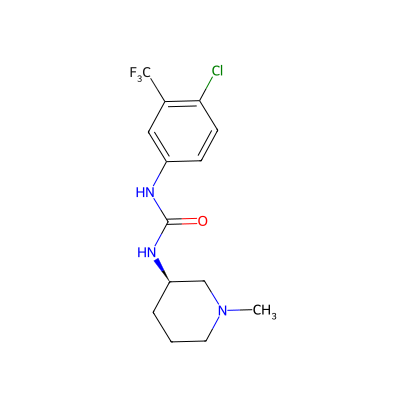 CN1CCC[C@@H](NC(=O)Nc2ccc(Cl)c(C(F)(F)F)c2)C1